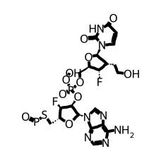 Nc1ncnc2c1ncn2[C@@H]1O[C@H](CSP=O)[C@@H](F)[C@H]1OP(=O)(OO)OC[C@H]1O[C@@H](n2ccc(=O)[nH]c2=O)[C@H](CCO)[C@@H]1F